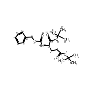 CC(C)(C)OC(=O)CC[C@@H](NC(=O)OCc1ccccc1)C(=O)OC(C)(C)C